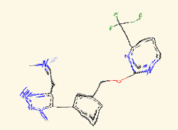 C/N=C\c1[nH]nnc1-c1cccc(COc2nccc(C(F)(F)F)n2)c1